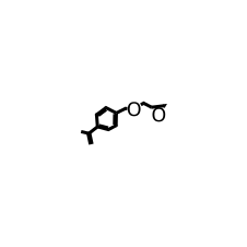 C=C(C)c1ccc(COCC2CO2)cc1